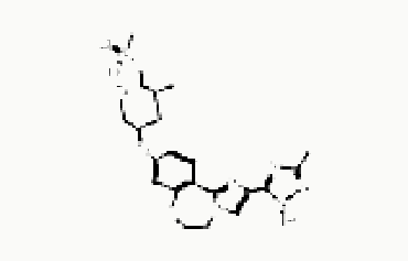 Cc1nc(-c2cn3c(n2)-c2ccc(OC(CO)CC(C)COS(C)(=O)=O)cc2OCC3)n(C(C)C)n1